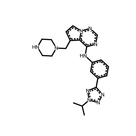 CC(C)n1nnc(-c2cccc(Nc3ncnn4ccc(CN5CCNCC5)c34)c2)n1